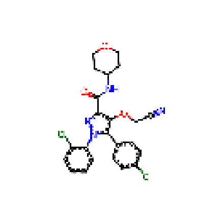 N#CCOc1c(C(=O)NC2CCOCC2)nn(-c2ccccc2Cl)c1-c1ccc(Cl)cc1